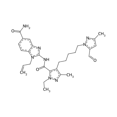 C=CCn1c(NC(=O)c2c(CCCCCn3nc(C)cc3C=O)c(C)nn2CC)nc2cc(C(N)=O)ccc21